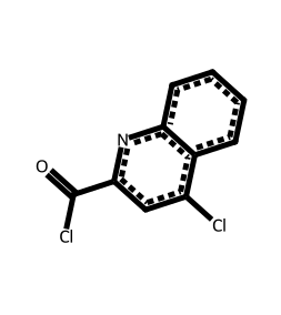 O=C(Cl)c1cc(Cl)c2ccccc2n1